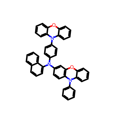 c1ccc(N2c3ccccc3Oc3cc(N(c4ccc(N5c6ccccc6Oc6ccccc65)cc4)c4cccc5ccccc45)ccc32)cc1